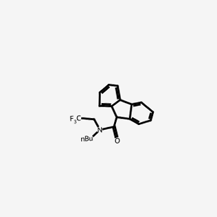 CCCCN(CC(F)(F)F)C(=O)C1c2ccccc2-c2ccccc21